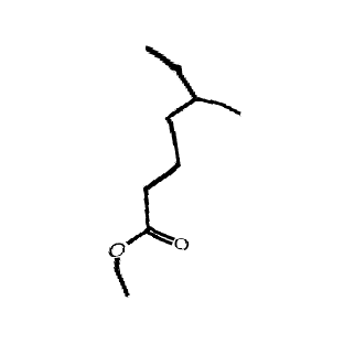 CCC(C)CCCC(=O)OC